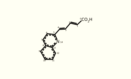 O=C(O)C=CC=Cc1ccc2ccccc2n1